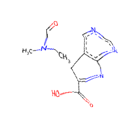 CN(C)C=O.O=C(O)C1=Nc2ncncc2C1